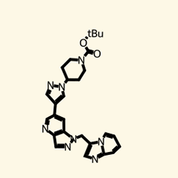 CC(C)(C)OC(=O)N1CCC(n2cc(-c3cnc4cnn(Cc5cnc6ccccn56)c4c3)cn2)CC1